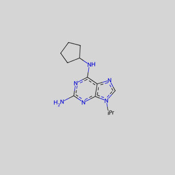 CC(C)n1cnc2c(NC3CCCC3)nc(N)nc21